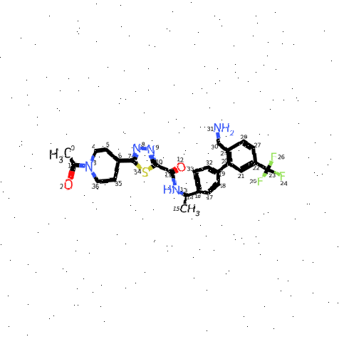 CC(=O)N1CCC(c2nnc(C(=O)N[C@H](C)c3ccc(-c4cc(C(F)(F)F)ccc4CN)cc3)s2)CC1